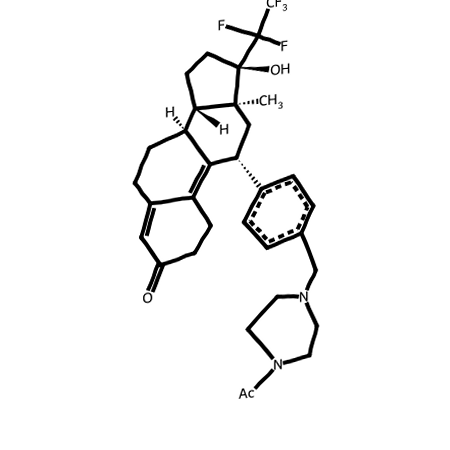 CC(=O)N1CCN(Cc2ccc([C@H]3C[C@@]4(C)[C@@H](CC[C@]4(O)C(F)(F)C(F)(F)F)[C@@H]4CCC5=CC(=O)CCC5=C43)cc2)CC1